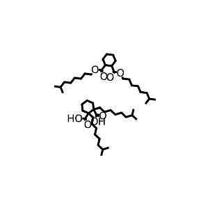 CC(C)CCCCCCC1(C(=O)O)CCCCC1(CCCCCCC(C)C)C(=O)O.CC(C)CCCCCCOC(=O)C1CCCCC1C(=O)OCCCCCCC(C)C